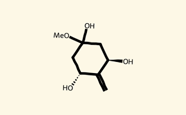 C=C1[C@H](O)CC(O)(OC)C[C@H]1O